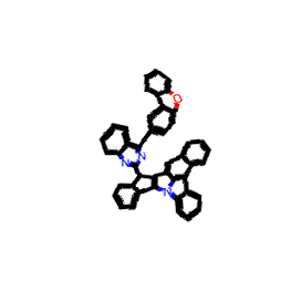 c1ccc2c(c1)-c1c(c3cc4ccccc4c4c5ccccc5n1c34)C2c1nc(-c2ccc3oc4ccccc4c3c2)c2ccccc2n1